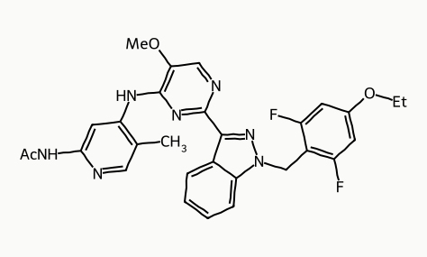 CCOc1cc(F)c(Cn2nc(-c3ncc(OC)c(Nc4cc(NC(C)=O)ncc4C)n3)c3ccccc32)c(F)c1